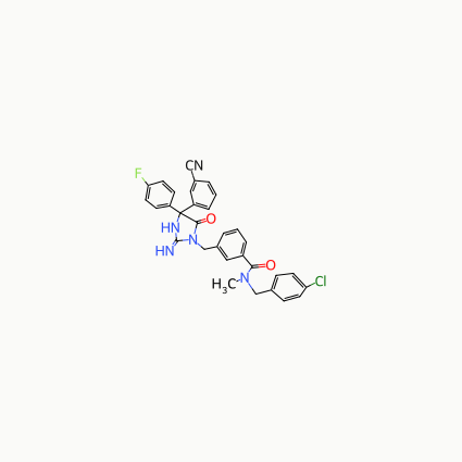 CN(Cc1ccc(Cl)cc1)C(=O)c1cccc(CN2C(=N)NC(c3ccc(F)cc3)(c3cccc(C#N)c3)C2=O)c1